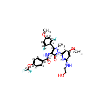 COc1cc(NCCO)nc(-n2c(=O)c(NC(=O)c3ccc(OC(F)F)cc3)c(-c3c(F)cc(OC)cc3F)n2C)c1